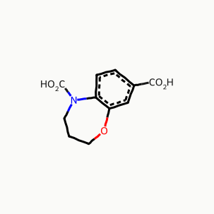 O=C(O)c1ccc2c(c1)OCCCN2C(=O)O